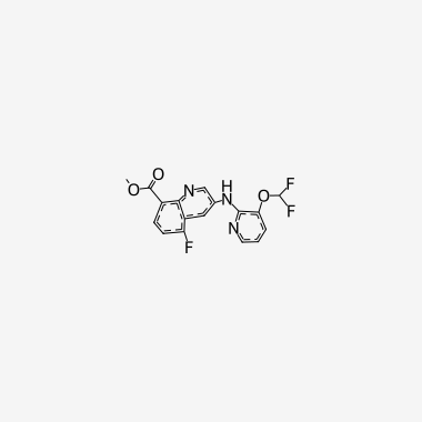 COC(=O)c1ccc(F)c2cc(Nc3ncccc3OC(F)F)cnc12